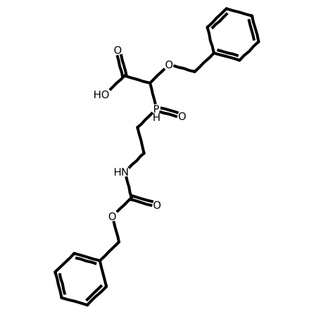 O=C(NCC[PH](=O)C(OCc1ccccc1)C(=O)O)OCc1ccccc1